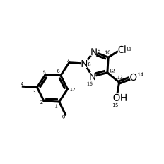 Cc1cc(C)cc(Cn2nc(Cl)c(C(=O)O)n2)c1